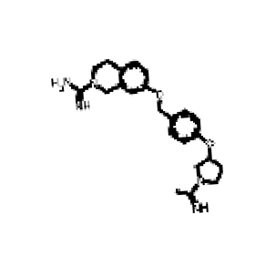 CC(=N)N1CCC(Oc2ccc(COc3ccc4c(c3)CN(C(=N)N)CC4)cc2)C1